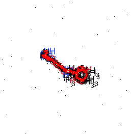 CO[C@H]1C[C@@H]2CC[C@@H](C)[C@@](O)(O2)C(=O)C(=O)N2CCCC[C@H]2C(=O)O[C@H]([C@H](N)C[C@@H]2CC[C@@H](OC(=O)N3CCN(c4ncc(C(=O)NCCOCCOCCOCCOCCOCCC(=O)N5CCc6cc(Cn7nc(-c8cnc9[nH]ccc9c8)c8c(N)ncnc87)ccc6C5)cn4)CC3)[C@H](OC)C2)CC(=O)[C@H](C)/C=C(\C)[C@@H](O)[C@@H](OC)C(=O)[C@H](C)C[C@H](C)/C=C/C=C/C=C/1C